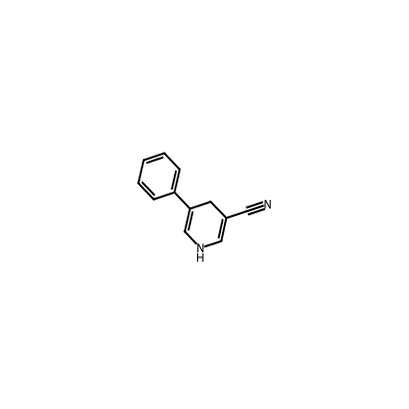 N#CC1=CNC=C(c2ccccc2)C1